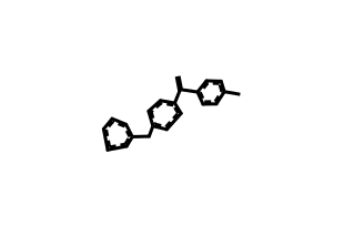 C=C(c1ccc(C)cc1)c1ccc(Cc2ccccc2)cc1